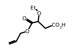 C=CCOC(=O)C(CC(=O)O)OCC